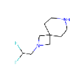 FC(F)CN1CC2(CCNCC2)C1